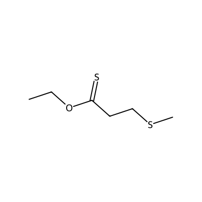 CCOC(=S)CCSC